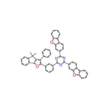 CC1(C)c2ccccc2-c2oc(-c3cccc(-c4nc(-c5ccc6c(c5)oc5ccccc56)nc(-c5ccc6c(c5)oc5ccccc56)n4)c3)c(-c3ccccc3)c21